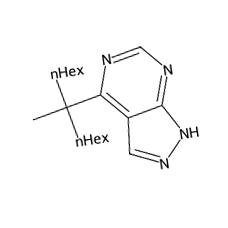 CCCCCCC(C)(CCCCCC)c1ncnc2[nH]ncc12